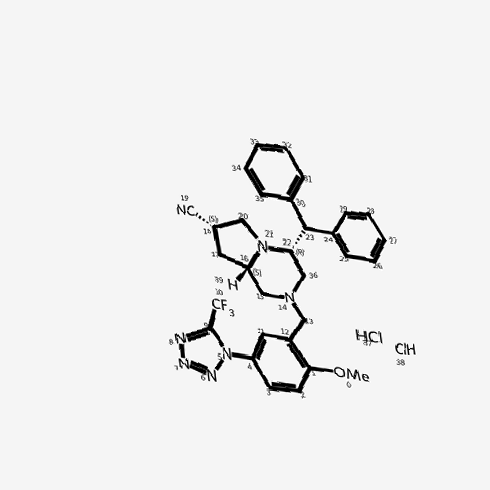 COc1ccc(-n2nnnc2C(F)(F)F)cc1CN1C[C@@H]2C[C@H](C#N)CN2[C@H](C(c2ccccc2)c2ccccc2)C1.Cl.Cl